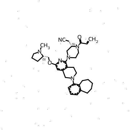 C=CC(=O)N1CCN(c2nc(OC[C@@H]3CCCN3C)cc3c2CCN(c2cccc4c2CCCCC4)C3)C[C@@H]1CC#N